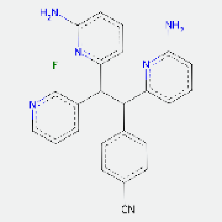 N#Cc1ccc(C(c2cccc(N)n2)C(c2cccc(N)n2)c2cccnc2F)cc1